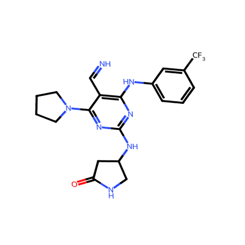 N=Cc1c(Nc2cccc(C(F)(F)F)c2)nc(NC2CNC(=O)C2)nc1N1CCCC1